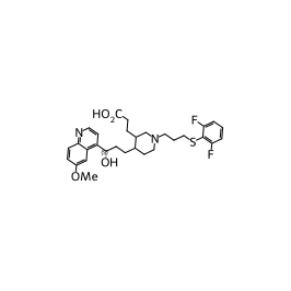 COc1ccc2nccc([C@@H](O)CCC3CCN(CCCSc4c(F)cccc4F)CC3CCC(=O)O)c2c1